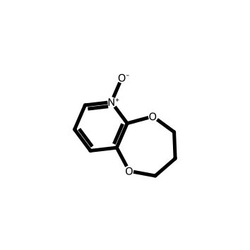 [O-][n+]1cccc2c1OCCCO2